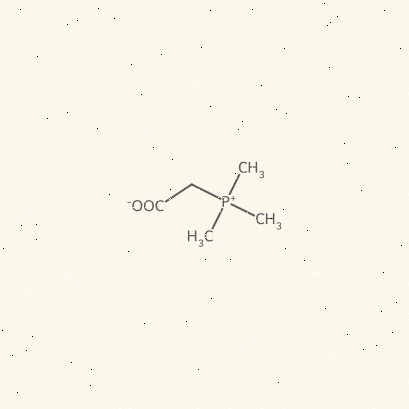 C[P+](C)(C)CC(=O)[O-]